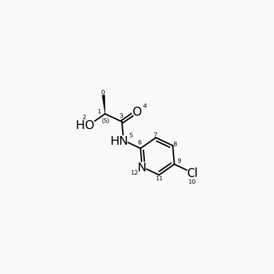 C[C@H](O)C(=O)Nc1ccc(Cl)cn1